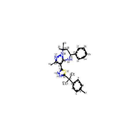 CCC(CC)(c1ccc(C)cc1)c1nnc(-c2c(C)nn3c2NC(c2ccccc2)CC3(C)C)s1